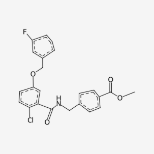 COC(=O)c1ccc(CNC(=O)c2cc(OCc3cccc(F)c3)ccc2Cl)cc1